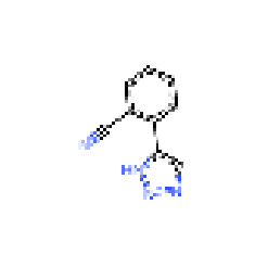 N#Cc1ccccc1-c1[c]nn[nH]1